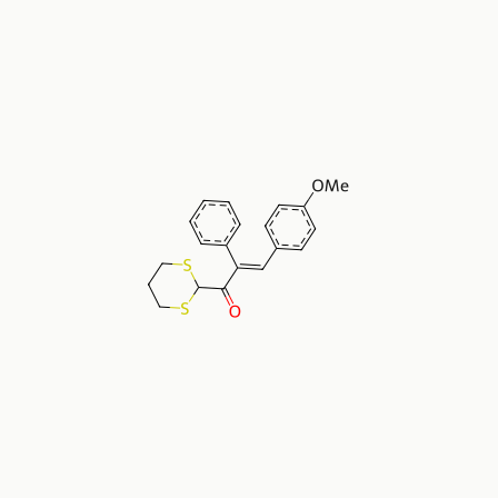 COc1ccc(C=C(C(=O)C2SCCCS2)c2ccccc2)cc1